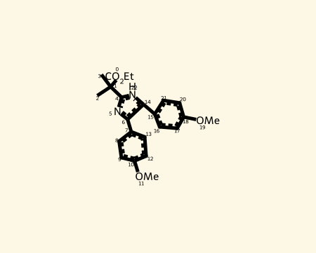 CCOC(=O)C(C)(C)c1nc(-c2ccc(OC)cc2)c(-c2ccc(OC)cc2)[nH]1